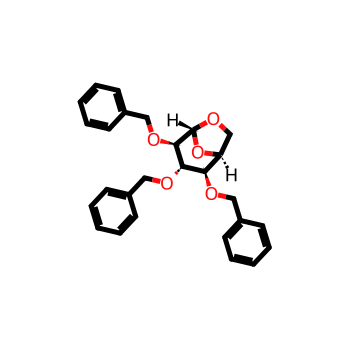 c1ccc(CO[C@@H]2[C@@H](OCc3ccccc3)[C@@H]3OC[C@H](O3)[C@H]2OCc2ccccc2)cc1